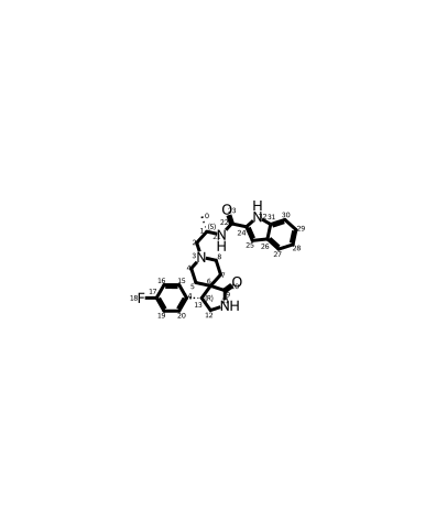 C[C@@H](CN1CCC2(CC1)C(=O)NC[C@@H]2c1ccc(F)cc1)NC(=O)c1cc2ccccc2[nH]1